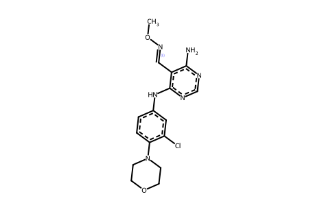 CO/N=C/c1c(N)ncnc1Nc1ccc(N2CCOCC2)c(Cl)c1